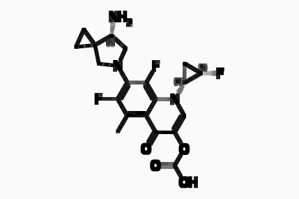 Cc1c(F)c(N2C[C@@H](N)C3(CC3)C2)c(F)c2c1c(=O)c(OC(=O)O)cn2[C@@H]1C[C@@H]1F